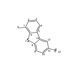 Cc1cccc2c1sc1ccc(F)cc12